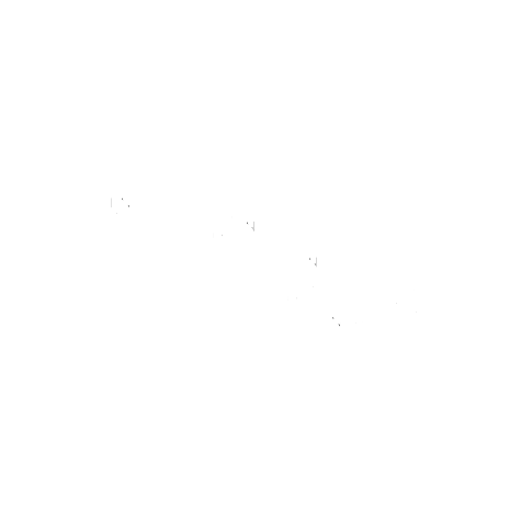 NCCC=CS(=O)(=O)N1CCC(NC(=O)c2cc(C3CC3)on2)CC1